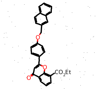 CCOC(=O)c1cccc2c(=O)cc(-c3ccc(OCc4ccc5ccccc5c4)cc3)oc12